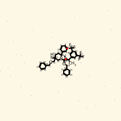 C[C@@H](OC[C@@]1(c2ccccc2)CCC(N)(COCc2ccccc2)CN1C(=O)OCc1ccccc1)c1cc(C(F)(F)F)cc(C(F)(F)F)c1